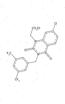 CCOC(=O)Cn1c(=O)n(Cc2cc(C(F)(F)F)cc(C(F)(F)F)c2)c(=O)c2ccc(Cl)cc21